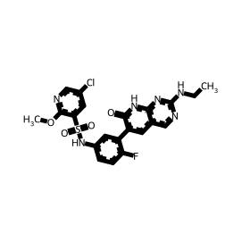 CCNc1ncc2cc(-c3cc(NS(=O)(=O)c4cc(Cl)cnc4OC)ccc3F)c(=O)[nH]c2n1